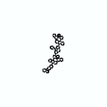 c1ccc(-n2c3cc(-c4c5ccccc5c(-c5cccc6oc7c8ccccc8ccc7c56)c5ccccc45)cc4ccc5cc(-c6ccc(-c7c8ccccc8c(-c8ccc9cc%10oc%11ccccc%11c%10cc9c8)c8ccccc78)c7c6oc6c8ccccc8ccc67)cc2c5c43)cc1